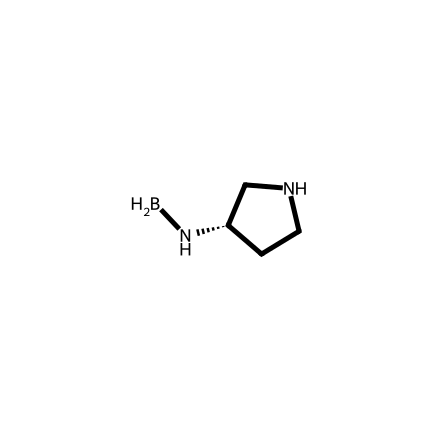 BN[C@H]1CCNC1